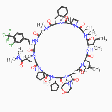 CC[C@H](C)[C@@H]1NC(=O)[C@@H](CC(C)C)N(C)C(=O)C[C@@H](C(=O)N2CCOCC2)N(C)C(=O)[C@H](C2CCCC2)N(C)C(=O)C2(CCCC2)NC(=O)[C@H](CCC(=O)N(C)C)N(C)C(=O)[C@H](CCc2ccc(C(F)(F)F)c(Cl)c2)NC(=O)CN(C)C(=O)[C@H](CC2CCCCC2)N(C)C(=O)[C@@H]2CCN2C(=O)[C@H](C)N(C)C1=O